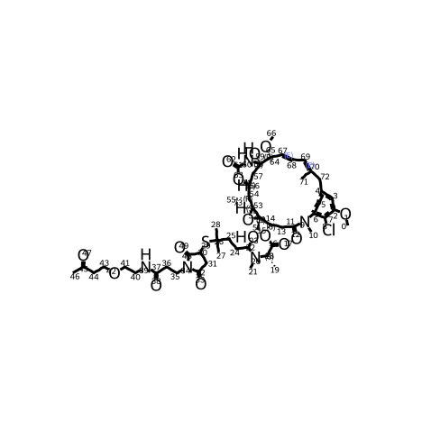 COc1cc2cc(c1Cl)N(C)C(=O)C[C@H](OC(=O)[C@H](C)N(C)C(O)CCC(C)(C)SC1CC(=O)N(CCC(=O)NCCOCCC(C)=O)C1=O)[C@]1(C)O[C@H]1[C@H](C)[C@@H]1C[C@@](O)(NC(=O)O1)[C@H](OC)/C=C/C=C(\C)C2